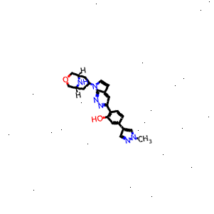 Cn1cc(-c2ccc(-c3cc4ccn(C5C[C@H]6COC[C@@H](C5)N6)c4nn3)c(O)c2)cn1